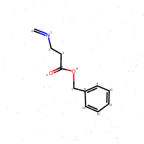 C=NCCC(=O)OCc1ccccc1